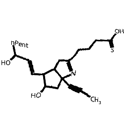 CC#CC12CC(O)C(C=CC(O)CCCCC)C1CC(CCCC(O)=S)=N2